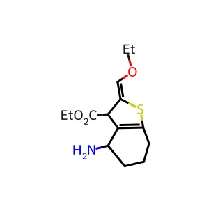 CCOC=C1SC2=C(C(N)CCC2)C1C(=O)OCC